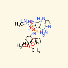 CCC(N)(N)NS(=O)(=O)c1ccc(-c2cnccc2N)c(-c2nnn(Cc3ccc(OC)cc3)n2)c1S(=O)(=O)N(Cc1ccc(OC)cc1)Cc1ccc(OC)cc1